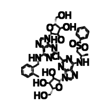 C[C@H](CS(=O)(=O)c1ccccc1)Nc1nc(Cl)nc2c1ncn2[C@@H]1O[C@H](CO)[C@@H](O)[C@H]1O.Cc1ccccc1CNc1ncnc2c1ncn2[C@@H]1O[C@H](CO)[C@@H](O)[C@H]1O